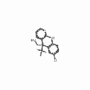 OCC1(C(F)(F)F)c2cc(Cl)ccc2Nc2ncccc21